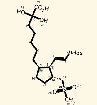 CCCCCCC=C[C@@H]1[C@H](CCCCCC(O)(O)C(=O)O)CC[C@H]1CS(C)(=O)=O